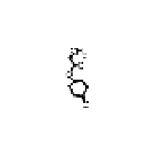 C=CC(=O)OC1CCC(=O)CC1